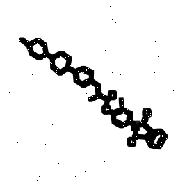 C/C(=C\c1ccc(C2CCC(C3CCC(C)CC3)CC2)cc1)C(=O)Oc1ccc(N2C(=O)C3C4C=CC(CC4)C3C2=O)cc1C